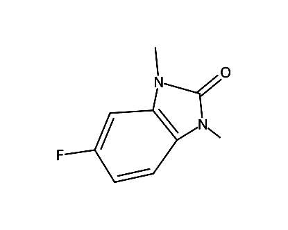 Cn1c(=O)n(C)c2cc(F)ccc21